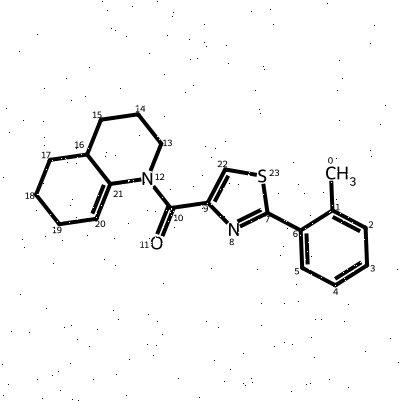 Cc1ccccc1-c1nc(C(=O)N2CCCC3CCCC=C32)cs1